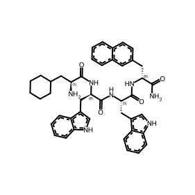 NC(=O)[C@@H](Cc1ccc2ccccc2c1)NC(=O)[C@H](Cc1c[nH]c2ccccc12)NC(=O)[C@@H](Cc1c[nH]c2ccccc12)NC(=O)[C@@H](N)CC1CCCCC1